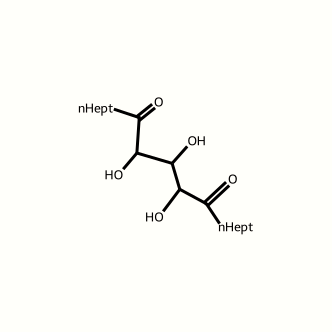 CCCCCCCC(=O)C(O)C(O)C(O)C(=O)CCCCCCC